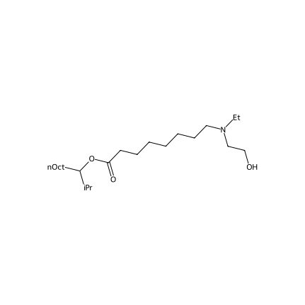 CCCCCCCCC(OC(=O)CCCCCCCN(CC)CCO)C(C)C